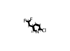 FC(F)Cc1ccc(Cl)nc1